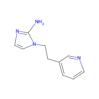 Nc1nccn1CCc1cccnc1